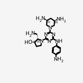 NC[C@H]1[C@@H](O)CCN1c1nc(Nc2ccc(N)cc2)nc(N2C[C@H](N)C[C@H](N)C2)n1